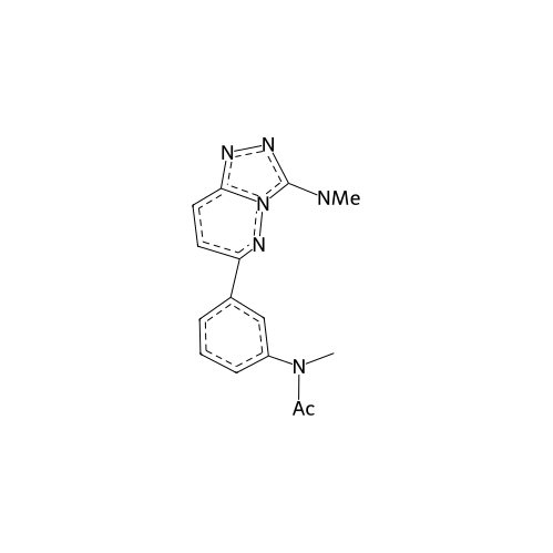 CNc1nnc2ccc(-c3cccc(N(C)C(C)=O)c3)nn12